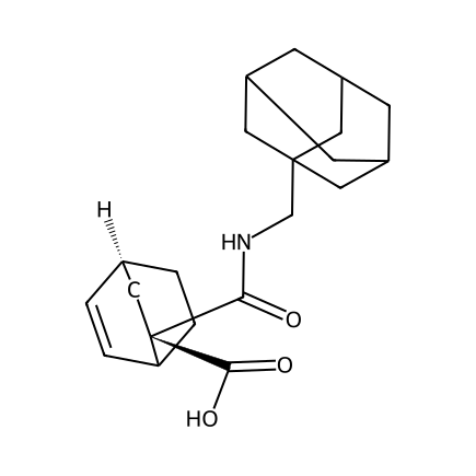 O=C(O)[C@]1(C(=O)NCC23CC4CC(CC(C4)C2)C3)C[C@H]2C=CC1CC2